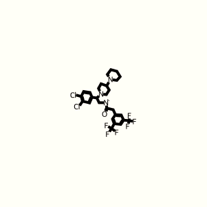 CN(CC(c1ccc(Cl)c(Cl)c1)N1CCC(N2CCCCC2)CC1)C(=O)Cc1cc(C(F)(F)F)cc(C(F)(F)F)c1